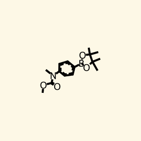 COC(=O)N(C)c1ccc(B2OC(C)(C)C(C)(C)O2)cc1